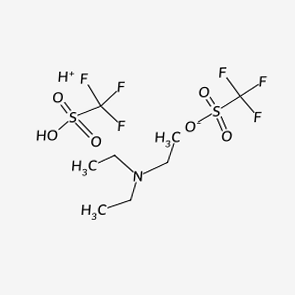 CCN(CC)CC.O=S(=O)(O)C(F)(F)F.O=S(=O)([O-])C(F)(F)F.[H+]